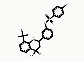 CC1(C)CC(c2cccc(NS(=O)(=O)c3ccc(F)cc3)c2)Nc2c(C(F)(F)F)cccc21